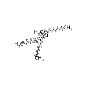 CCCCCCCCCCCC(C)C(=O)OCC(CCCCCCCCC)CCCCCCCCCC